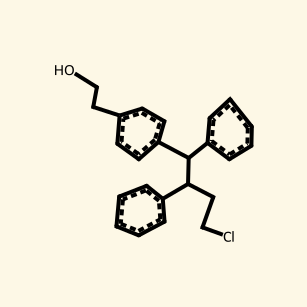 OCCc1ccc(C(c2ccccc2)C(CCCl)c2ccccc2)cc1